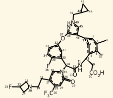 Cc1cc2cc(c1F)[C@@H](CC(=O)O)NC(=O)[C@@H](n1cc(CCN3CC(F)C3)c(C(F)(F)F)cc1=O)c1cc(ccc1F)Oc1nn(CC3CC3)cc1-2